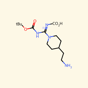 CC(C)(C)OC(=O)N/C(=N/C(=O)O)N1CCC(CCN)CC1